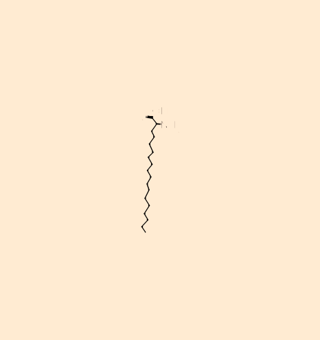 CCCCCCCCCCCCCCCCC(N)C(=O)O